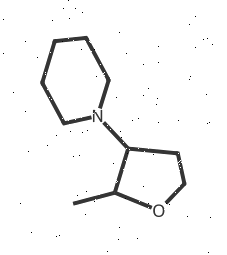 CC1OCCC1N1CCCCC1